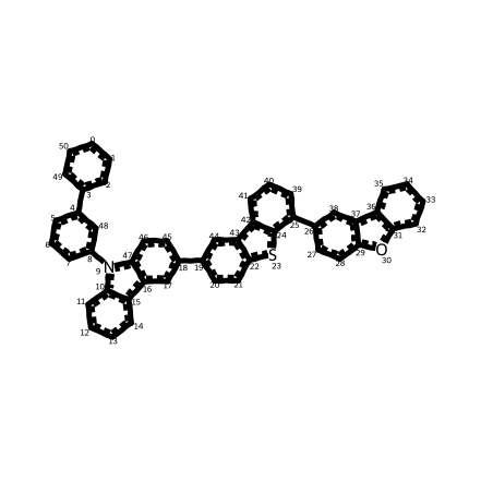 c1ccc(-c2cccc(-n3c4ccccc4c4cc(-c5ccc6sc7c(-c8ccc9oc%10ccccc%10c9c8)cccc7c6c5)ccc43)c2)cc1